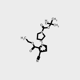 CCOC(=O)c1c(C#N)ccn1[C@@H]1CCN(C(=O)OC(C)(C)C)C1